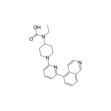 CCN(C(=O)O)C1CCN(c2cccc(-c3cccc4cnccc34)n2)CC1